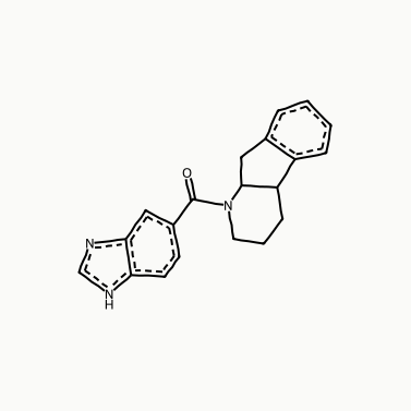 O=C(c1ccc2[nH]cnc2c1)N1CCCC2c3ccccc3CC21